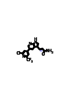 NC(=O)/C=C/c1c[nH]c2ncc(-c3cc(Cl)nc(C(F)(F)F)c3)cc12